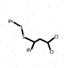 CC(C)SSC(CC(Cl)Cl)C(C)C